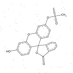 CS(=O)(=S)Oc1ccc2c(c1)Oc1cc(O)ccc1C21OC(=O)c2ccccc21